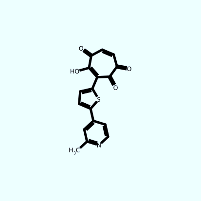 Cc1cc(-c2ccc(C3=C(O)C(=O)C=CC(=O)C3=O)s2)ccn1